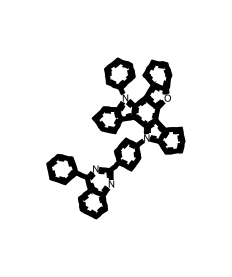 c1ccc(-c2nc(-c3ccc(-n4c5ccccc5c5c6oc7ccccc7c6c6c(c7ccccc7n6-c6ccccc6)c54)cc3)nc3ccccc23)cc1